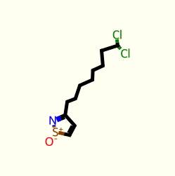 [O-][s+]1ccc(CCCCCCCC(Cl)Cl)n1